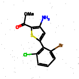 COC(=O)c1sc(-c2c(Cl)cccc2Br)cc1N